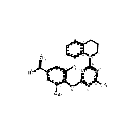 C=C(C)c1cc(Br)c(Oc2nc(C)nc(N3CCCc4ccccc43)n2)c(OC)c1